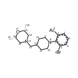 CC(=O)c1cccc(Br)c1N1CCC(CN2C[C@@H](C)O[C@@H](C)C2)CC1